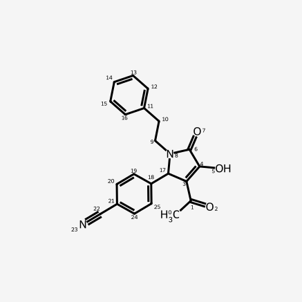 CC(=O)C1=C(O)C(=O)N(CCc2ccccc2)C1c1ccc(C#N)cc1